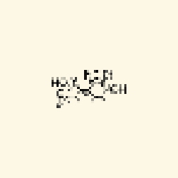 CCc1c(O)ccc([C@@H](CC2CO2)C(=O)O)c1C#N